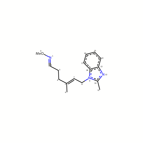 CON=CCC/C(C)=C/Cn1c(C)nc2ccccc21